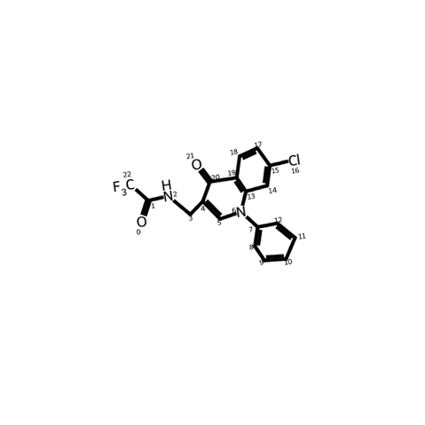 O=C(NCc1cn(-c2ccccc2)c2cc(Cl)ccc2c1=O)C(F)(F)F